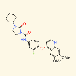 COc1cc2nccc(Oc3ccc(NC(=O)N4CCN(C5CCCCC5)C4=O)cc3F)c2cc1OC